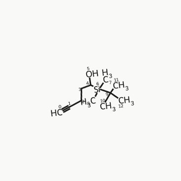 C#CCCC(O)[Si](C)(C)C(C)(C)C